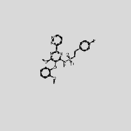 COc1ccccc1Oc1c(NS(=O)(=O)CCc2ccc(F)cc2)nc(-c2cccnn2)nc1OC